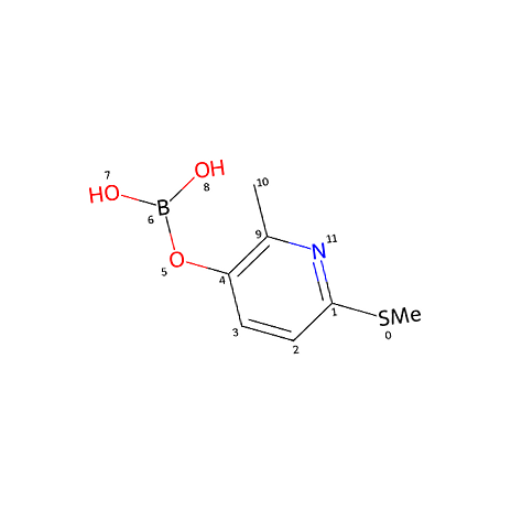 CSc1ccc(OB(O)O)c(C)n1